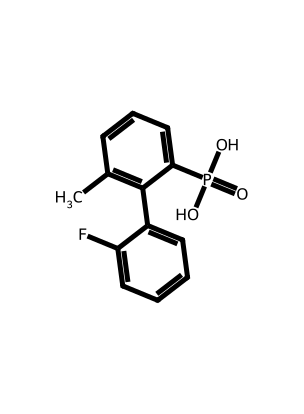 Cc1cccc(P(=O)(O)O)c1-c1ccccc1F